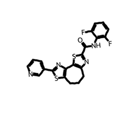 O=C(Nc1c(F)cccc1F)c1nc2c(s1)-c1nc(-c3cccnc3)sc1CCC2